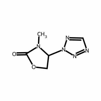 CN1C(=O)OCC1n1ncnn1